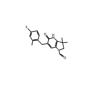 Cc1cc(F)ccc1Cc1cc2c([nH]c1=O)C(C)(C)CN2C=O